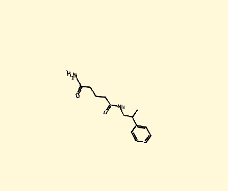 CC(CNC(=O)CCCC(N)=O)c1ccccc1